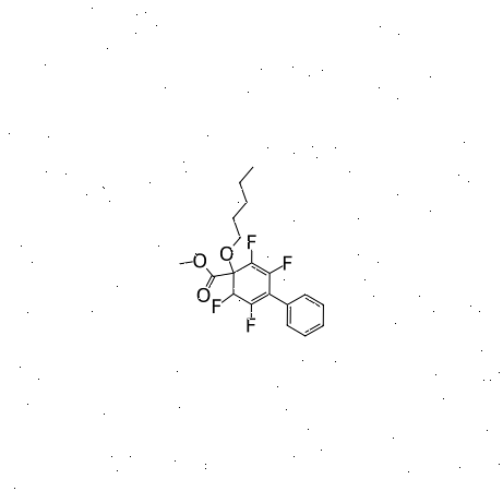 CCCCCOC1(C(=O)OC)C(F)=C(F)C(c2ccccc2)=C(F)C1F